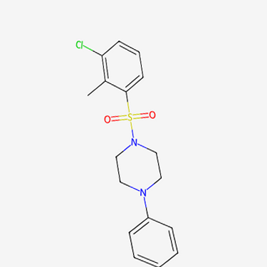 Cc1c(Cl)cccc1S(=O)(=O)N1CCN(c2ccccc2)CC1